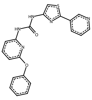 O=C(Nc1cccc(Oc2ccccc2)n1)Nc1csc(-c2cccnc2)n1